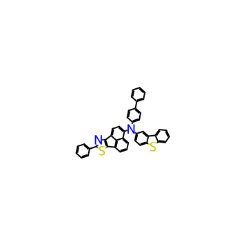 c1ccc(-c2ccc(N(c3ccc4sc5ccccc5c4c3)c3ccc4c5c(cccc35)-c3sc(-c5ccccc5)nc3-4)cc2)cc1